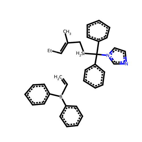 C=CB(c1ccccc1)c1ccccc1.CCC=C(C)C[SiH2]C(c1ccccc1)(c1ccccc1)n1ccnc1